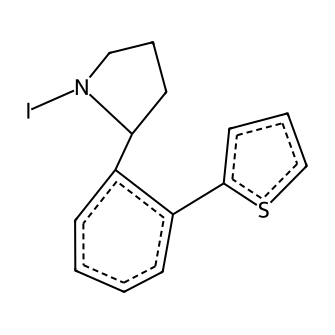 IN1CCCC1c1ccccc1-c1cccs1